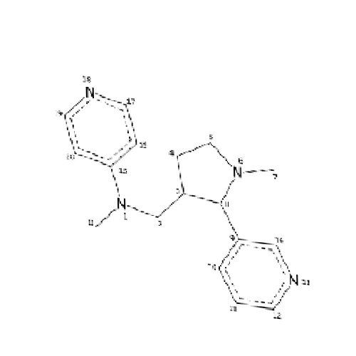 CN(CC1CCN(C)C1c1cccnc1)c1ccncc1